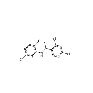 CC(Nc1nc(Cl)ncc1F)c1ccc(Cl)cc1Cl